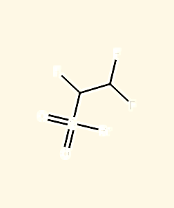 O=S(=O)(Br)C(F)C(F)F